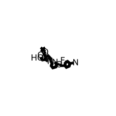 CC(C)(C)OC(=O)N1CCN(c2cccc(OCc3ccc(C#N)cc3F)n2)CC1CO